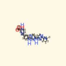 Cc1cccc(-c2nccc(Nc3ccnc(Nc4ccc(CN5CCN[C@@H](C(=O)O)C5)cc4)n3)n2)n1